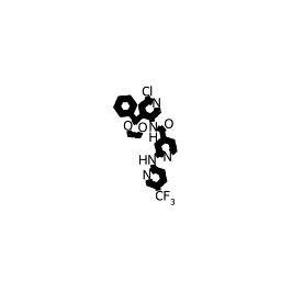 O=C(Nc1cnc(Cl)cc1C1(c2ccccc2)OCCO1)c1ccnc(Nc2ccc(C(F)(F)F)cn2)c1